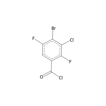 O=C(Cl)c1cc(F)c(Br)c(Cl)c1F